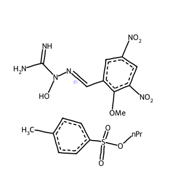 CCCOS(=O)(=O)c1ccc(C)cc1.COc1c(/C=N/N(O)C(=N)N)cc([N+](=O)[O-])cc1[N+](=O)[O-]